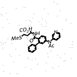 CSCCC(NC(=O)c1ccc(N(C(C)=O)c2cccnc2)cc1-c1ccccc1)C(=O)O